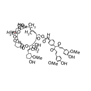 COc1cc(/C=C/C(=O)C(C(=O)/C=C/c2ccc(O)c(OC)c2)c2ccc(NC(=O)OCC[C@@H]3/C=C(\C)C[C@H](C)C[C@H](O)[C@H]4O[C@@](O)(C(=O)C(=O)N5CCCC[C@H]5C(=O)O[C@H](/C(C)=C/[C@@H]5CC[C@@H](O)[C@H](OC)C5)[C@H](C)[C@@H](O)CC3=O)[C@H](C)C[C@@H]4OC)cc2)ccc1O